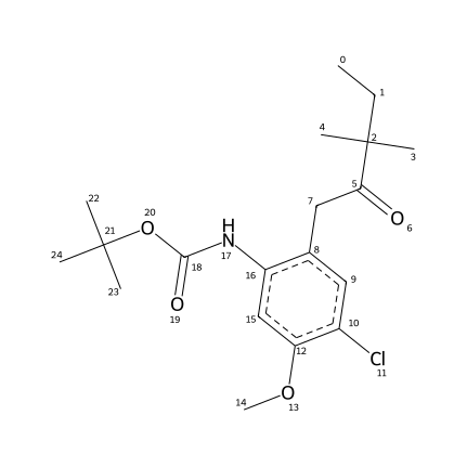 CCC(C)(C)C(=O)Cc1cc(Cl)c(OC)cc1NC(=O)OC(C)(C)C